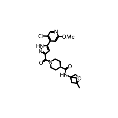 COc1cc(-c2cc(C(=O)N3CCC(C(=O)NC45COC(C)(C4)C5)CC3)n[nH]2)c(Cl)cn1